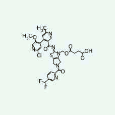 COc1cnc(Cl)cc1-c1cc(C)ncc1C(=O)/N=c1\sc2c(n1COC(=O)CCC(=O)O)CN(C(=O)c1ccc(C(F)F)cn1)C2